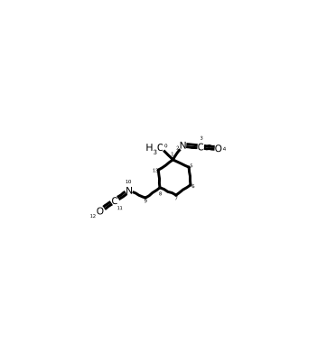 CC1(N=C=O)CCCC(CN=C=O)C1